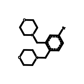 Brc1ccc(CN2CCOCC2)c(CN2CCOCC2)c1